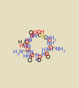 C[C@@H](O)[C@@H]1NC(=O)[C@H](CCCCN)NC(=O)[C@@H](Cc2c[nH]c3ccccc23)NC(=O)[C@H](Cc2ccccc2)NC(=O)[C@H](Cc2ccccc2)NC(=O)[C@H](CCCCN)NC(=O)[C@@H](N)CSSC[C@@H](C(=O)O)NC(=O)[C@H](Cc2ccccc2)NC1=O